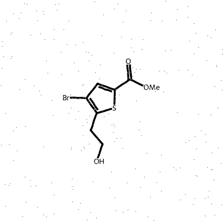 COC(=O)c1cc(Br)c(CCO)s1